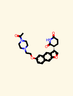 CC(=O)N1CCN(CCOc2ccc3cc4occ([C@H]5CCC(=O)NC5=O)c4cc3c2)CC1